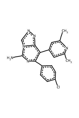 Cc1cc(-c2c(-c3ccc(Cl)cc3)nc(N)n3cnnc23)cc(C)n1